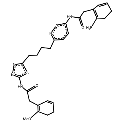 COC1=C(CC(=O)Nc2nnc(CCCCc3ccc(NC(=O)CC4=C(P)CCC=C4)nn3)s2)C=CCC1